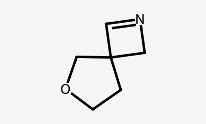 C1=NCC12CCOC2